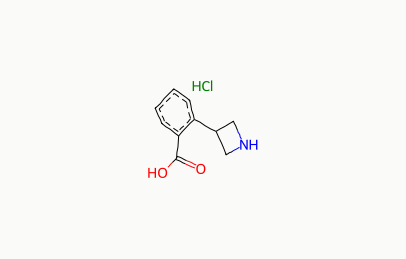 Cl.O=C(O)c1ccccc1C1CNC1